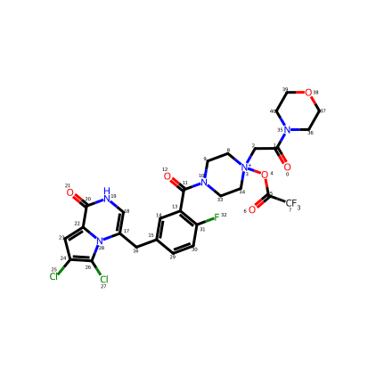 O=C(C[N+]1(OC(=O)C(F)(F)F)CCN(C(=O)c2cc(Cc3c[nH]c(=O)c4cc(Cl)c(Cl)n34)ccc2F)CC1)N1CCOCC1